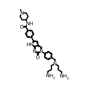 CN1CCC(NC(=O)c2ccc(-c3cc4cn(-c5ccc(CN(CCCN)CCCN)cc5)c(=O)nc4[nH]3)cc2)CC1